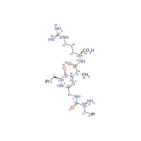 CC(C)C[C@H](NC(=O)CNC(=O)[C@@H](N)CC(C)C)C(=O)N[C@@H](C)C(=O)N[C@@H](CCCNC(=N)N)C(=O)O